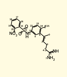 C/C(=C\CSC(=N)N)c1cc(NS(=O)(=O)c2ccccc2[N+](=O)[O-])ccc1F